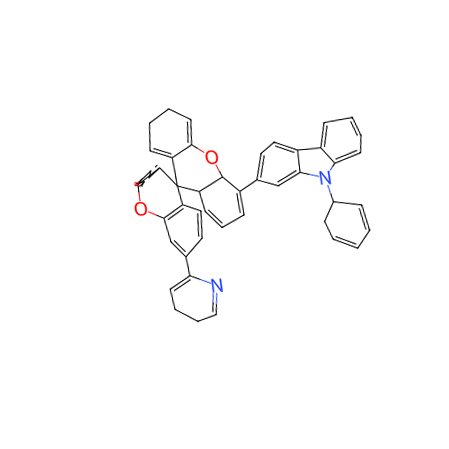 C1=CCC(n2c3ccccc3c3ccc(C4=CC=CC5C4OC4=CCCC=C4C54c5ccccc5Oc5cc(C6=CCCC=N6)ccc54)cc32)C=C1